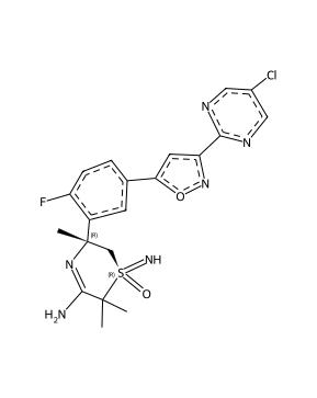 CC1(C)C(N)=N[C@](C)(c2cc(-c3cc(-c4ncc(Cl)cn4)no3)ccc2F)C[S@@]1(=N)=O